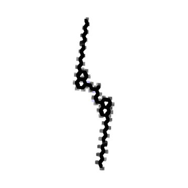 CCCCCCOCCCCCCc1ccc2c(c1)C=CC/C2=C\C=C(/C)C/C=C\c1cccc2cc(CCCCCCOCCCCCC)ccc12